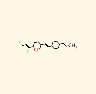 CCCC1CCC(/C=C/C2CCC(/C(F)=C/CF)OC2)CC1